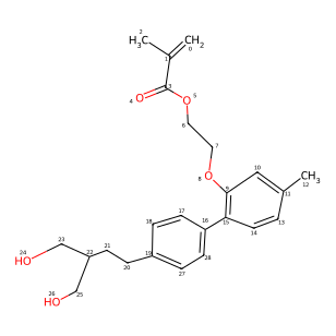 C=C(C)C(=O)OCCOc1cc(C)ccc1-c1ccc(CCC(CO)CO)cc1